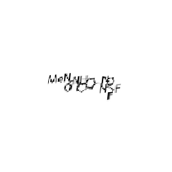 CNC(=O)N[C@@H]1CCc2cc(-c3noc(C(F)F)n3)ccc21